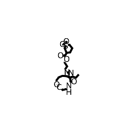 CCc1nn(CCCOC(=O)C2CCCS(=O)(=O)C2)c2c1C(=O)NCCCOCCC2